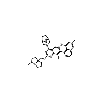 Cc1cc(Cl)c2c(-c3ncc4c(N5CC6CCC(C5)N6)nc(OCC56CCCN5[C@@H](C)CC6)nc4c3F)cccc2c1